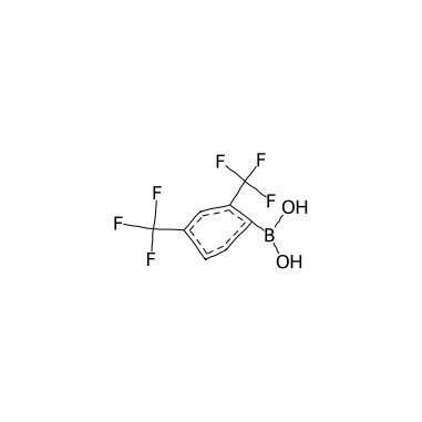 OB(O)c1ccc(C(F)(F)F)cc1C(F)(F)F